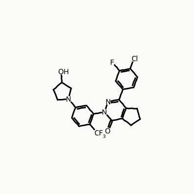 O=c1c2c(c(-c3ccc(Cl)c(F)c3)nn1-c1cc(N3CCC(O)C3)ccc1C(F)(F)F)CCC2